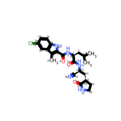 Cc1c(C(=O)N[C@@H](CC(C)C)C(=O)N[C@H](C#N)C[C@@H]2CCNC2=O)[nH]c2ccc(Cl)cc12